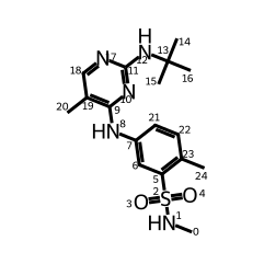 CNS(=O)(=O)c1cc(Nc2nc(NC(C)(C)C)ncc2C)ccc1C